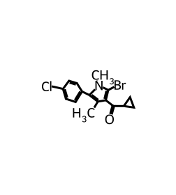 Cc1c(C(=O)C2CC2)c(Br)n(C)c1-c1ccc(Cl)cc1